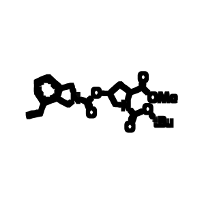 C=Cc1cccc2c1CN(C(=O)OC1CC(C(=O)OC)N(C(=O)OC(C)(C)C)C1)C2